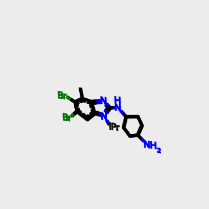 Cc1c(Br)c(Br)cc2c1nc(NC1CCC(N)CC1)n2C(C)C